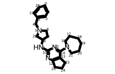 c1ccc(CN2CCC(Nc3nc4c(c(N5CCCCCC5)n3)CCC4)C2)cc1